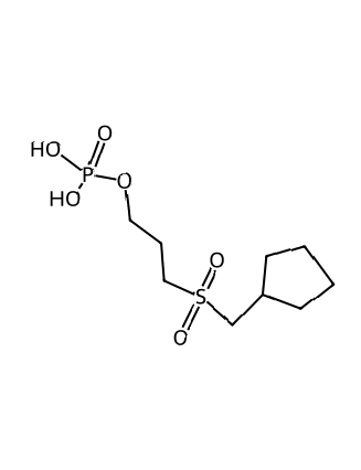 O=P(O)(O)OCCCS(=O)(=O)CC1CCCC1